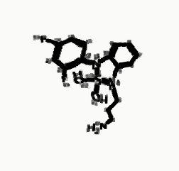 NCCCN1c2ccccc2N(c2ccc(F)cc2F)S1(O)O